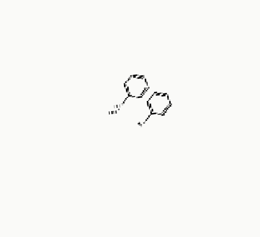 Cl.Pc1ccccc1.Pc1ccccc1